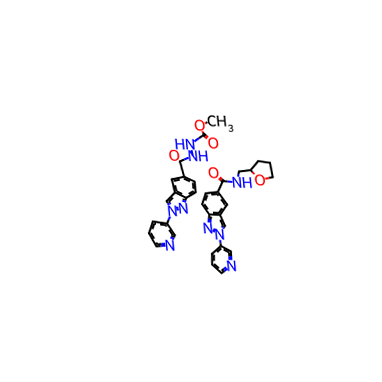 COC(=O)NNC(=O)c1ccc2nn(-c3cccnc3)cc2c1.O=C(NCC1CCCO1)c1ccc2nn(-c3cccnc3)cc2c1